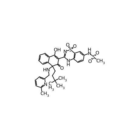 Cc1cccc(CNC2(CCC(C)(C)C)C(=O)C(C3=NS(=O)(=O)c4cc(NS(C)(=O)=O)ccc4N3)=C(O)c3ccccc32)n1